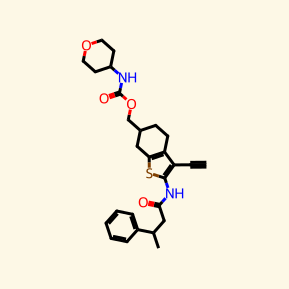 C#Cc1c(NC(=O)CC(C)c2ccccc2)sc2c1CCC(COC(=O)NC1CCOCC1)C2